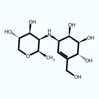 C[C@H]1OC[C@H](O)[C@@H](O)[C@H]1N[C@@H]1C=C(CO)[C@@H](O)[C@H](O)[C@@H]1O